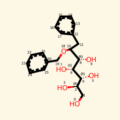 OC[C@@H](O)[C@@H](O)[C@H](O)[C@@H](O)C(Cc1ccccc1)OCc1ccccc1